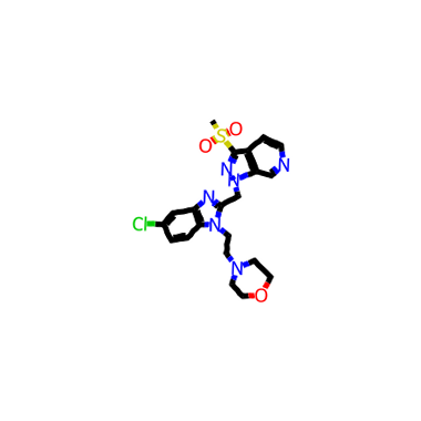 CS(=O)(=O)c1nn(Cc2nc3cc(Cl)ccc3n2CCN2CCOCC2)c2cnccc12